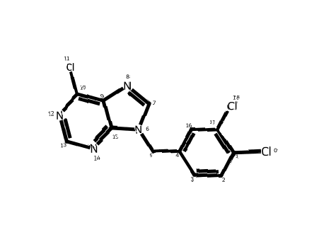 Clc1ccc(Cn2cnc3c(Cl)ncnc32)cc1Cl